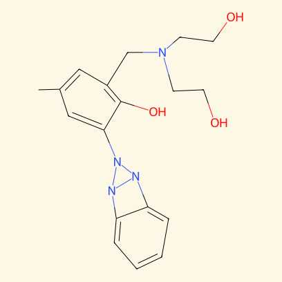 Cc1cc(CN(CCO)CCO)c(O)c(-n2n3c4ccccc4n23)c1